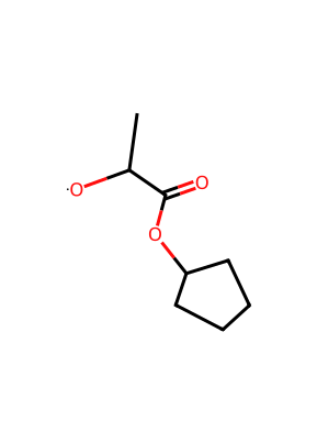 CC([O])C(=O)OC1CCCC1